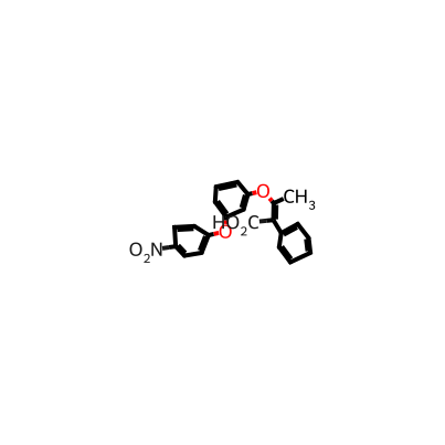 CC(Oc1cccc(Oc2ccc([N+](=O)[O-])cc2)c1)=C(C(=O)O)c1ccccc1